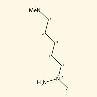 CNCCCCCN(C)N